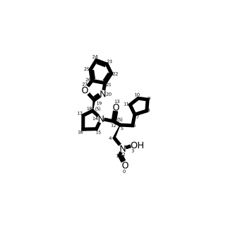 O=CN(O)C[C@H](CC1CCCC1)C(=O)N1CCC[C@H]1c1nc2ccccc2o1